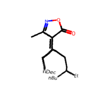 CCCCCCCCCCCC(CC(CC)CCCC)=C1C(=O)ON=C1C